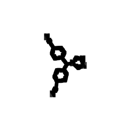 N#Cc1ccc(C(c2ccc(C#N)cc2)n2cnnc2)cc1